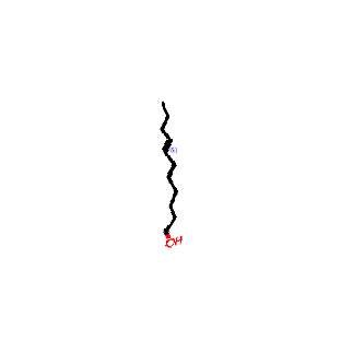 CCC/C=C/CCCCCCO